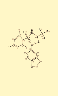 Cc1cc(C)c(S(=O)(=O)NC(COc2ccc3c(c2)CCC3)C(F)(F)F)c(C)c1